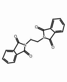 O=C1c2ccccc2C(=O)N1[CH]CN1C(=O)c2ccccc2C1=O